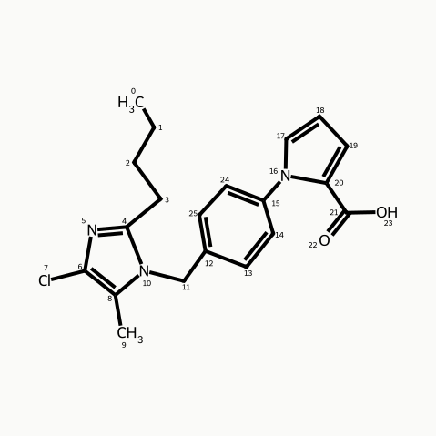 CCCCc1nc(Cl)c(C)n1Cc1ccc(-n2cccc2C(=O)O)cc1